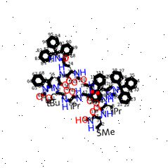 CSCC[C@H](NC(=O)[C@H](CC(C)C)NC(=O)[C@H](Cc1cn(C(c2ccccc2)(c2ccccc2)c2ccccc2)cn1)NC(=O)CNC(=O)[C@@H](NC(=O)[C@H](C)NC(=O)[C@H](Cc1cn(C(=O)OC(C)(C)C)c2ccccc12)NC(=O)[C@H](CCC(=O)NC(c1ccccc1)(c1ccccc1)c1ccccc1)NC(=O)OCC1c2ccccc2-c2ccccc21)C(C)C)C(=O)NO